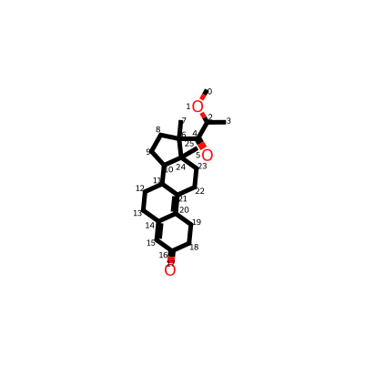 COC(C)C(=O)C1(C)CCC2C3CCC4=CC(=O)CCC4=C3CCC21C